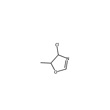 CC1OC=NC1Cl